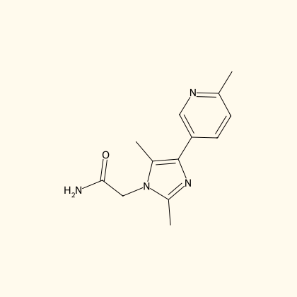 Cc1ccc(-c2nc(C)n(CC(N)=O)c2C)cn1